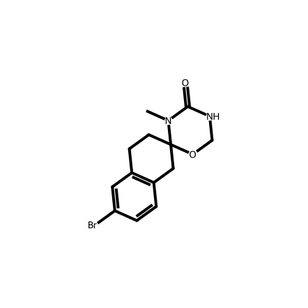 CN1C(=O)NCOC12CCc1cc(Br)ccc1C2